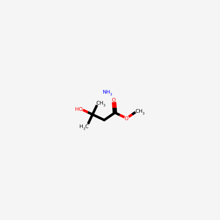 COC(=O)CC(C)(C)O.N